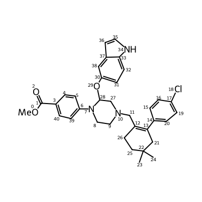 COC(=O)c1ccc(N2CCN(CC3=C(c4ccc(Cl)cc4)CC(C)(C)CC3)CC2Oc2ccc3[nH]ccc3c2)cc1